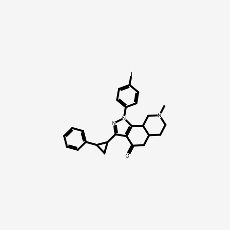 CN1CCC2CC(=O)c3c(C4CC4c4ccccc4)nn(-c4ccc(I)cc4)c3C2C1